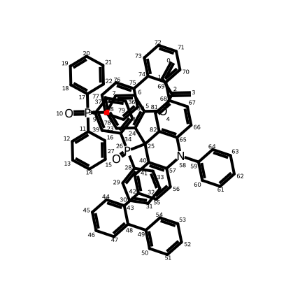 C=CC(=C)Oc1ccc(P(=O)(c2ccccc2)c2ccccc2)cc1C1(P(=O)(c2ccccc2)c2ccccc2)c2cc(-c3ccccc3-c3ccccc3)ccc2N(c2ccccc2)c2ccc(-c3ccccc3-c3ccccc3)cc21